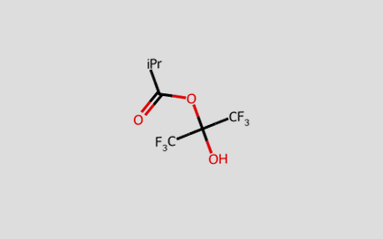 CC(C)C(=O)OC(O)(C(F)(F)F)C(F)(F)F